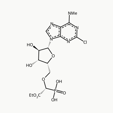 CCOC(=O)[C@H](OC[C@H]1O[C@@H](n2cnc3c(NC)nc(Cl)nc32)[C@H](O)[C@H]1O)P(=O)(O)O